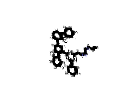 C=C/C=C\C=C/Cc1nc(C2=CCCC=C2)nc(-c2cc(C3=CCCc4c3oc3ccccc43)cc3oc4ccccc4c23)n1